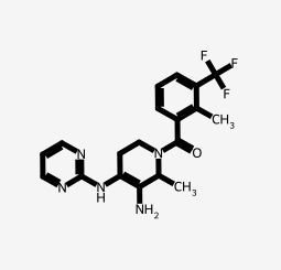 Cc1c(C(=O)N2CCC(Nc3ncccn3)=C(N)C2C)cccc1C(F)(F)F